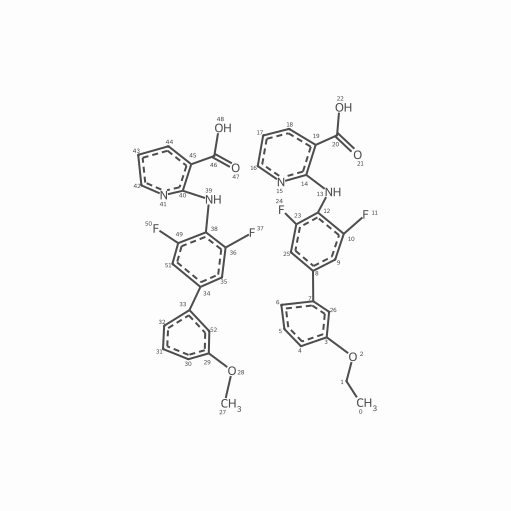 CCOc1cccc(-c2cc(F)c(Nc3ncccc3C(=O)O)c(F)c2)c1.COc1cccc(-c2cc(F)c(Nc3ncccc3C(=O)O)c(F)c2)c1